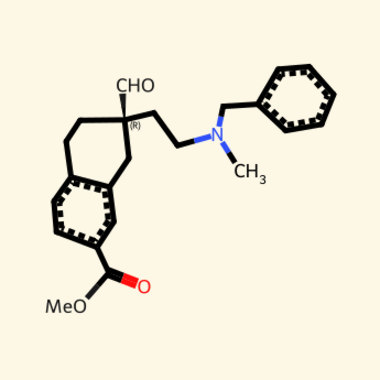 COC(=O)c1ccc2c(c1)C[C@@](C=O)(CCN(C)Cc1ccccc1)CC2